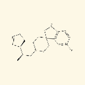 C[C@H](CN1CCC2(CC1)CNc1ccc(F)cc12)[C@H]1C=CCC1